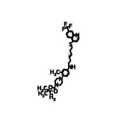 Cc1cc(NCC/C=C/CCSc2ccnc3cc(C(F)(F)F)ccc23)ccc1N1CCN(C(=O)OC(C)(C)C)CC1